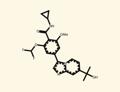 COc1cc(-c2cnc3cc(C(C)(C)O)ccn23)cc(OC(F)F)c1C(=O)NC1CC1